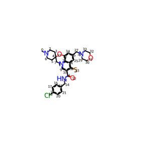 CN1CCC2(CC1)Cn1cc(C(=O)NCc3ccc(Cl)cc3)c(=S)c3cc(CN4CCOCC4)cc(c31)O2